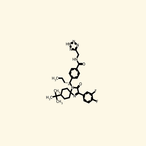 CCC[C@H](c1ccc(C(=O)NCc2nn[nH]n2)cc1)N1C(=O)C(c2ccc(F)c(F)c2)=NC12CCC(C(C)(C)C)CC2